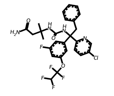 CC(C)(CC(N)=O)NC(=O)NC(Cc1ccccc1)(c1cc(F)cc(OC(F)(F)C(F)F)c1)c1ccc(Cl)cn1